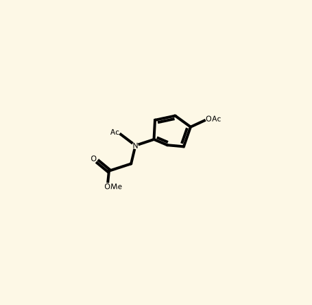 COC(=O)CN(C(C)=O)c1ccc(OC(C)=O)cc1